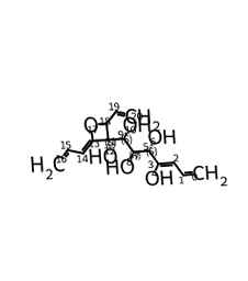 C=CC=C(O)[C@@H](O)[C@@H](O)[C@H](O)[C@@]1(O)C(=CC=C)OC1C=C